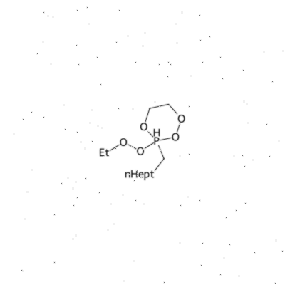 [CH2]COO[PH]1(CCCCCCCC)OCCOO1